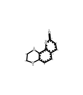 O=c1ccc2ccc3c(c2o1)OCCO3